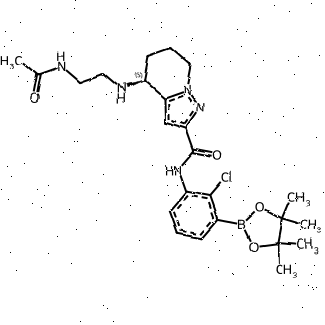 CC(=O)NCCN[C@H]1CCCn2nc(C(=O)Nc3cccc(B4OC(C)(C)C(C)(C)O4)c3Cl)cc21